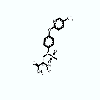 CC(C)N[C@@H](CN(c1ccc(Oc2ccc(C(F)(F)F)cn2)cc1)S(C)(=O)=O)C(N)=O